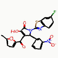 Cc1ccc(C(=O)C2=C(O)C(=O)N(c3nc4ccc(F)cc4s3)C2c2cccc([N+](=O)[O-])c2)o1